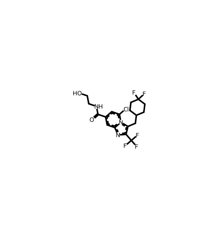 O=C(NCCO)c1cc(Cl)n2c(CC3CCC(F)(F)CC3)c(C(F)(F)F)nc2c1